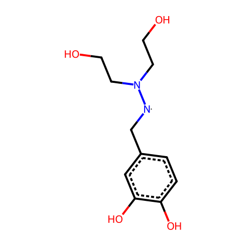 OCCN(CCO)[N]Cc1ccc(O)c(O)c1